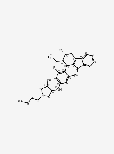 C[C@@H]1Cc2c([nH]c3ccccc23)[C@@H](c2c(F)cc(NC3CN(CCCF)C[C@H]3F)cc2F)N1CC(F)(F)F